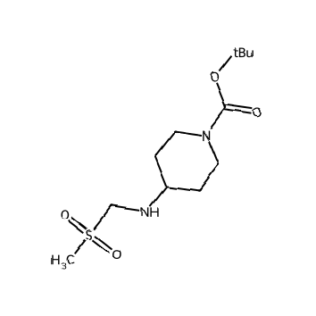 CC(C)(C)OC(=O)N1CCC(NCS(C)(=O)=O)CC1